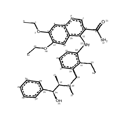 CCOc1cc2ncc(C(N)=O)c(Nc3cccc(CN(C)[C@H](C)[C@@H](O)c4ccccc4)c3CC)c2cc1OCC